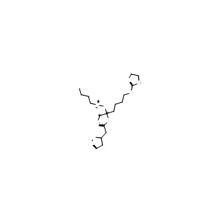 CCCCS(=O)(=O)NC(CCCCNC1=NCCN1)(NC(=O)CC1CC=NO1)C(=O)O